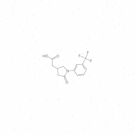 O=C(O)CC1CC(=O)N(c2cccc(C(F)(F)F)c2)C1